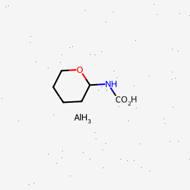 O=C(O)NC1CCCCO1.[AlH3]